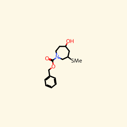 CSC1CC(O)CCN(C(=O)OCc2ccccc2)C1